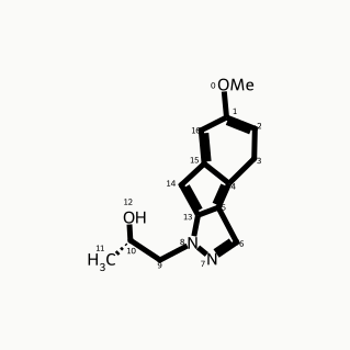 COC1=CCC2=c3cnn(C[C@H](C)O)c3=CC2=C1